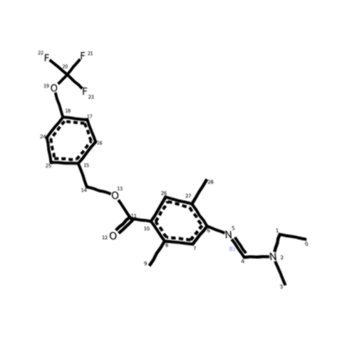 CCN(C)/C=N/c1cc(C)c(C(=O)OCc2ccc(OC(F)(F)F)cc2)cc1C